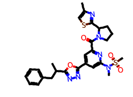 Cc1csc(C2CCCN2C(=O)c2cc(-c3nnc(C(C)Cc4ccccc4)o3)cc(N(C)S(C)(=O)=O)n2)n1